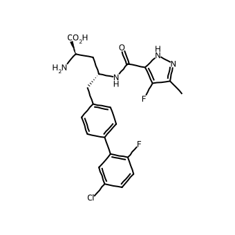 Cc1n[nH]c(C(=O)N[C@H](Cc2ccc(-c3cc(Cl)ccc3F)cc2)C[C@@H](N)C(=O)O)c1F